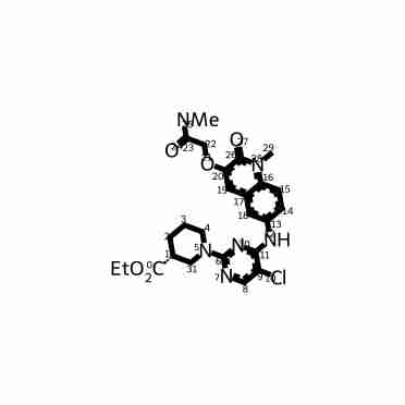 CCOC(=O)[C@@H]1CCCN(c2ncc(Cl)c(Nc3ccc4c(c3)cc(OCC(=O)NC)c(=O)n4C)n2)C1